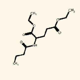 CCCC(=O)NC(CCC(=O)OCC)C(=O)OCC